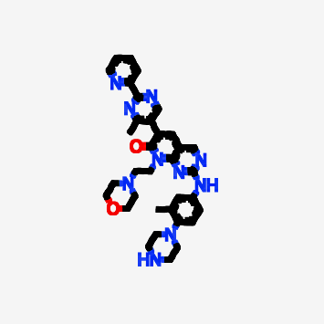 Cc1cc(Nc2ncc3cc(-c4cnc(-c5ccccn5)nc4C)c(=O)n(CCN4CCOCC4)c3n2)ccc1N1CCNCC1